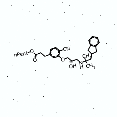 CCCCCOC(=O)CCc1ccc(C#N)c(OC[C@@H](O)CNC(C)(C)CC2Cc3ccccc3C2)c1